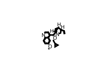 C=C[C@H]1CN2CC[C@H]1C[C@H]2[C@H](OCC1CC1)c1ccnc2ccc(OC)cc12